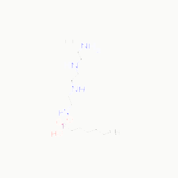 CCCCCCP(=O)(O)ONCCNCCNCCN.[LiH]